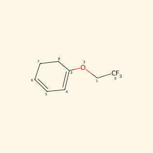 FC(F)(F)COC1=CC=CCC1